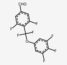 O=Cc1cc(F)c(C(F)(F)Oc2cc(F)c(F)c(F)c2)c(F)c1